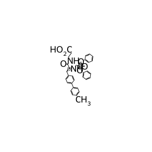 Cc1ccc(-c2ccc(C[C@H](NCP(=O)(Oc3ccccc3)Oc3ccccc3)C(=O)NCCC(=O)O)cc2)cc1